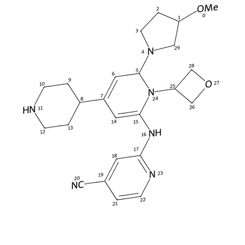 COC1CCN(C2C=C(C3CCNCC3)C=C(Nc3cc(C#N)ccn3)N2C2COC2)C1